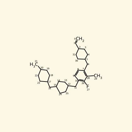 C=CC1CCC(Cc2ccc(CC3CCC(CC4CCC(C)CC4)CC3)c(F)c2C)CC1